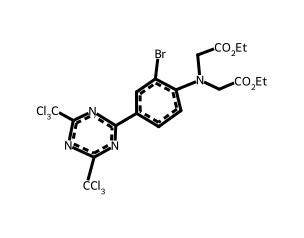 CCOC(=O)CN(CC(=O)OCC)c1ccc(-c2nc(C(Cl)(Cl)Cl)nc(C(Cl)(Cl)Cl)n2)cc1Br